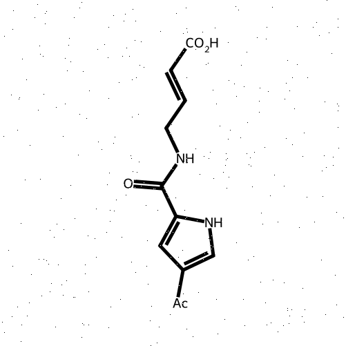 CC(=O)c1c[nH]c(C(=O)NCC=CC(=O)O)c1